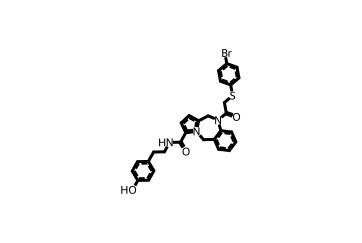 O=C(NCCc1ccc(O)cc1)c1ccc2n1Cc1ccccc1N(C(=O)CSc1ccc(Br)cc1)C2